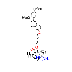 CCCCCc1ccc(C2=Cc3ccc(OCCCCCOC(=O)C(C)(C)C(C)(N)CC(C)(C)N)cc3CCC2)c(SC)c1